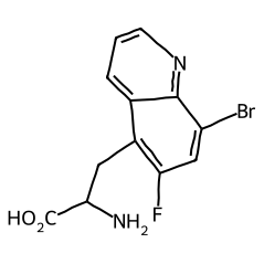 NC(Cc1c(F)cc(Br)c2ncccc12)C(=O)O